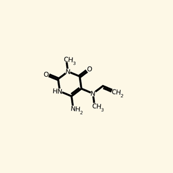 C=CN(C)c1c(N)[nH]c(=O)n(C)c1=O